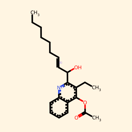 CCCCCC/C=C/C(O)c1nc2ccccc2c(OC(C)=O)c1CC